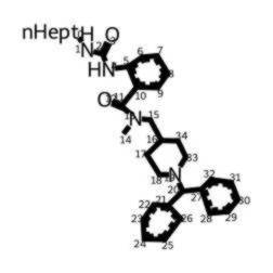 CCCCCCCNC(=O)Nc1ccccc1C(=O)N(C)CC1CCN(C(c2ccccc2)c2ccccc2)CC1